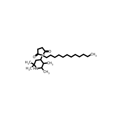 CCCCCCCCCCCC[N+]1(C2CC(C)(C)NC(C)C2C)C(=O)CCC1=O